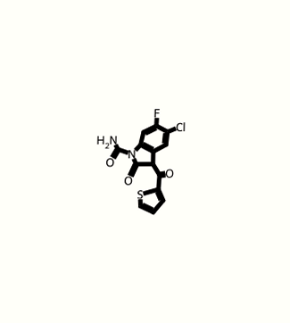 NC(=O)N1C(=O)C(C(=O)c2cccs2)c2cc(Cl)c(F)cc21